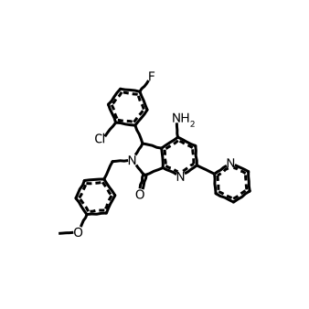 COc1ccc(CN2C(=O)c3nc(-c4ccccn4)cc(N)c3C2c2cc(F)ccc2Cl)cc1